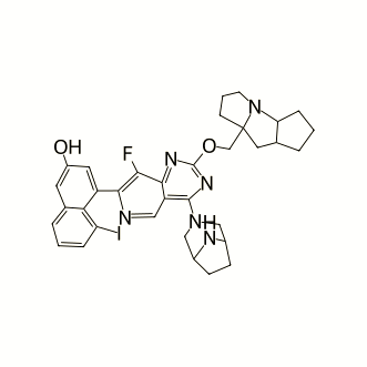 Oc1cc(-c2ncc3c(N4CC5CCC(C4)N5)nc(OCC45CCCN4C4CCCC4C5)nc3c2F)c2c(I)cccc2c1